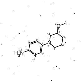 CO[C@H]1CCCN(c2ccc(N)nc2)C1